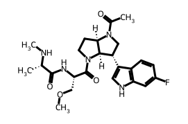 CN[C@@H](C)C(=O)N[C@@H](COC)C(=O)N1CC[C@@H]2[C@H]1[C@@H](c1c[nH]c3cc(F)ccc13)CN2C(C)=O